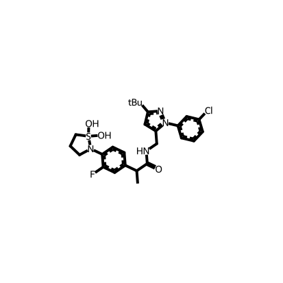 CC(C(=O)NCc1cc(C(C)(C)C)nn1-c1cccc(Cl)c1)c1ccc(N2CCCS2(O)O)c(F)c1